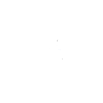 CC(C)[C@H](N)C(=O)O.O=c1ccc2ccccc2o1